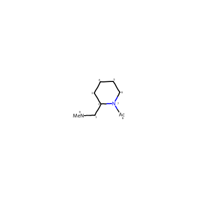 CNCC1CCCCN1C(C)=O